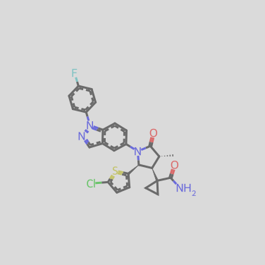 C[C@H]1C(=O)N(c2ccc3c(cnn3-c3ccc(F)cc3)c2)[C@H](c2ccc(Cl)s2)[C@@H]1C1(C(N)=O)CC1